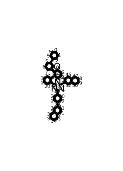 c1ccc(-c2cccc3c2oc2cccc(-c4ccccc4C4N=C(c5ccc(-c6ccc7ccccc7c6)cc5)N=C(c5ccc6ccccc6c5)N4)c23)cc1